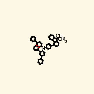 CC1(C)c2ccccc2-c2c(-c3ccc(N(c4ccc(-c5ccccc5)cc4)c4ccc(-c5ccccc5)cc4-c4ccccc4)cc3)cccc21